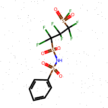 O=S(=O)(NS(=O)(=O)C(F)(F)C(F)(F)C(F)(F)S(=O)(=O)F)c1ccccc1